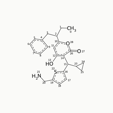 CCC(Cc1ccccc1)c1cc(O)c(C(c2ccc(CN)s2)C2CC2)c(=O)o1